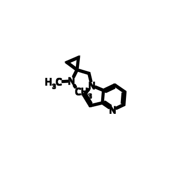 CN(C)C1(Cn2ccc3ncccc32)CC1